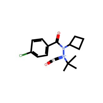 CC(C)(C)[N+](=C=O)N(C(=O)c1ccc(Cl)cc1)C1CCC1